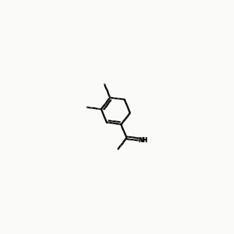 CC(=N)C1=CC(C)=C(C)CC1